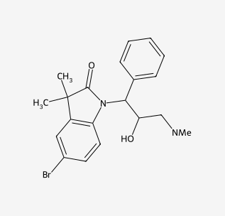 CNCC(O)C(c1ccccc1)N1C(=O)C(C)(C)c2cc(Br)ccc21